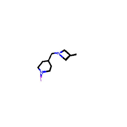 CC1CN(CC2CCN(I)CC2)C1